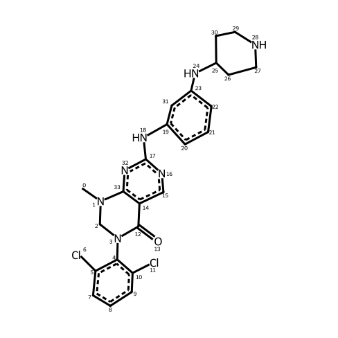 CN1CN(c2c(Cl)cccc2Cl)C(=O)c2cnc(Nc3cccc(NC4CCNCC4)c3)nc21